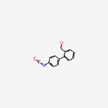 O=C=Nc1ccc(-c2ccccc2C=O)cc1